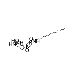 CCCCCCCCCCCCCCCCCCNC(=O)N1CCN(C(=O)c2ccc(CC(=N)NO)cc2)CC1